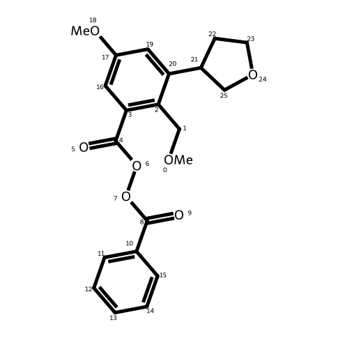 COCc1c(C(=O)OOC(=O)c2ccccc2)cc(OC)cc1C1CCOC1